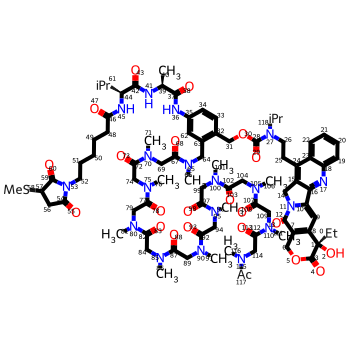 CC[C@@]1(O)C(=O)OCc2c1cc1n(c2=O)Cc2c-1nc1ccccc1c2CCN(C(=O)OCc1ccc(NC(=O)[C@H](C)NC(=O)[C@@H](NC(=O)CCCCCN2C(=O)CC(SC)C2=O)C(C)C)cc1CN(C)C(=O)CN(C)C(=O)CN(C)C(=O)CN(C)C(=O)CN(C)C(=O)CN(C)C(=O)CN(C)C(=O)CN(C)C(=O)CN(C)C(=O)CN(C)C(=O)CN(C)C(C)=O)C(C)C